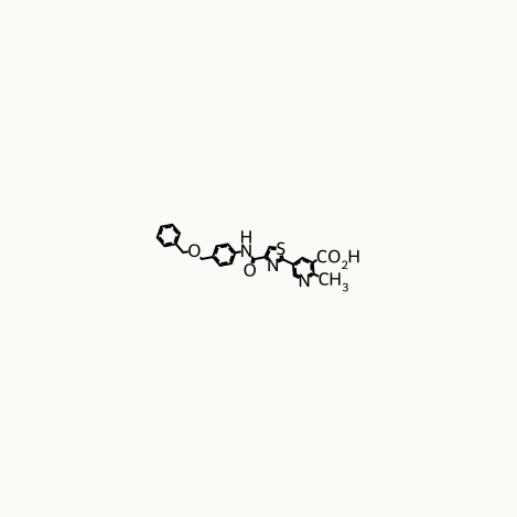 Cc1ncc(-c2nc(C(=O)Nc3ccc(COCc4ccccc4)cc3)cs2)cc1C(=O)O